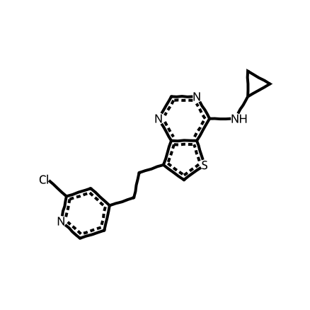 Clc1cc(CCc2csc3c(NC4CC4)ncnc23)ccn1